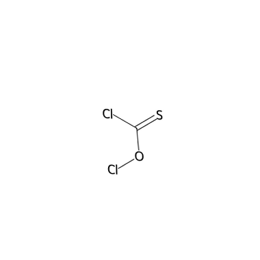 S=C(Cl)OCl